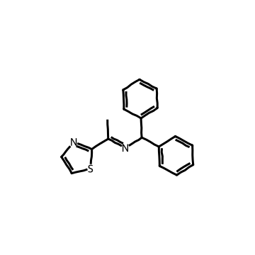 CC(=NC(c1ccccc1)c1ccccc1)c1nccs1